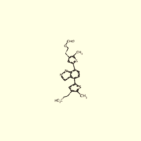 Cc1sc(-c2ccc(-c3cc(CCOC=O)c(C)s3)c3nnccc23)cc1CCC(=O)O